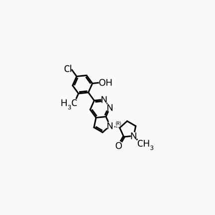 Cc1cc(Cl)cc(O)c1-c1cc2ccn([C@@H]3CCN(C)C3=O)c2nn1